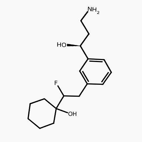 NCC[C@H](O)c1cccc(CC(F)C2(O)CCCCC2)c1